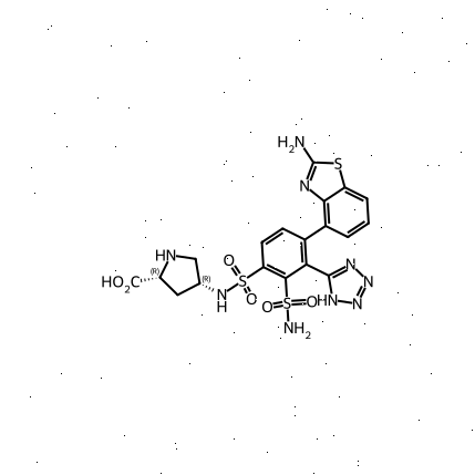 Nc1nc2c(-c3ccc(S(=O)(=O)N[C@H]4CN[C@@H](C(=O)O)C4)c(S(N)(=O)=O)c3-c3nnn[nH]3)cccc2s1